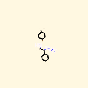 Cc1ccc(SN[C@H](C)C(N=[N+]=[N-])c2ccccc2)cc1